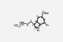 COc1cc(F)c2[nH]cc(CCNC(=O)O)c2c1